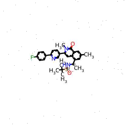 Cc1cc([C@@H](C)N[S@+]([O-])C(C)(C)C)c2cc(-c3ccc(-c4ccc(F)cc4)nc3)n(C)c(=O)c2c1